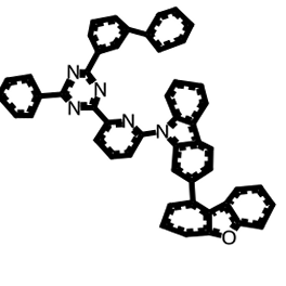 c1ccc(-c2cccc(-c3nc(-c4ccccc4)nc(-c4cccc(-n5c6ccccc6c6ccc(-c7cccc8oc9ccccc9c78)cc65)n4)n3)c2)cc1